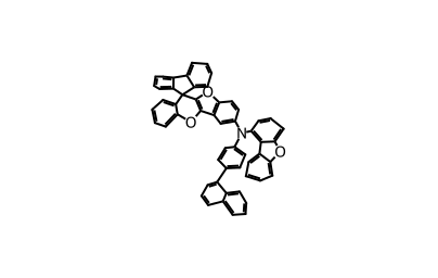 c1ccc2c(c1)Oc1c(oc3ccc(N(c4ccc(-c5cccc6ccccc56)cc4)c4cccc5oc6ccccc6c45)cc13)C21c2ccccc2-c2ccccc21